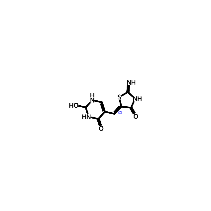 N=C1NC(=O)/C(=C/C2=CNC(O)NC2=O)S1